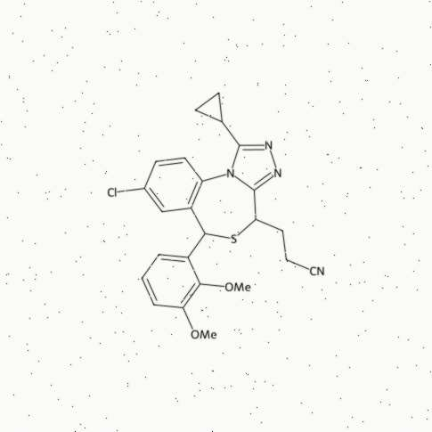 COc1cccc(C2SC(CCC#N)c3nnc(C4CC4)n3-c3ccc(Cl)cc32)c1OC